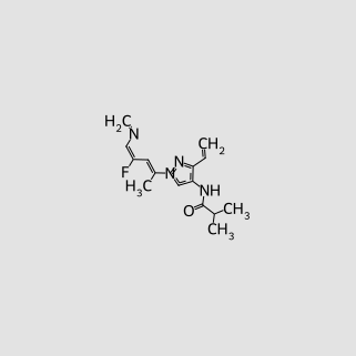 C=Cc1nn(/C(C)=C/C(F)=C\N=C)cc1NC(=O)C(C)C